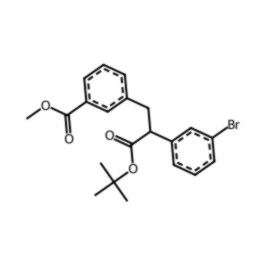 COC(=O)c1cccc(CC(C(=O)OC(C)(C)C)c2cccc(Br)c2)c1